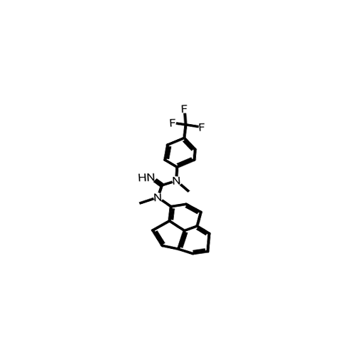 CN(C(=N)N(C)c1ccc2cccc3c2c1C=C3)c1ccc(C(F)(F)F)cc1